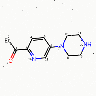 CCC(=O)c1ccc(N2CCNCC2)cn1